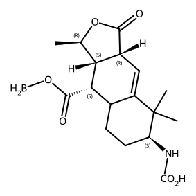 BOC(=O)[C@H]1C2CC[C@H](NC(=O)O)C(C)(C)C2=C[C@H]2C(=O)O[C@H](C)[C@H]21